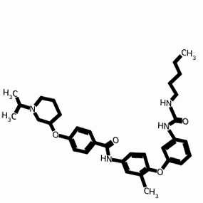 CCCCCNC(=O)Nc1cccc(Oc2ccc(NC(=O)c3ccc(OC4CCCN(C(C)C)C4)cc3)cc2C)c1